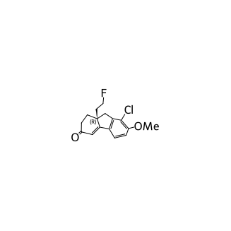 COc1ccc2c(c1Cl)C[C@@]1(CCF)CCC(=O)C=C21